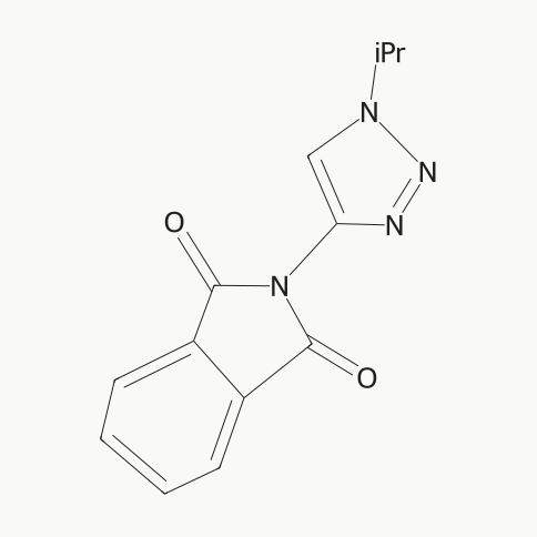 CC(C)n1cc(N2C(=O)c3ccccc3C2=O)nn1